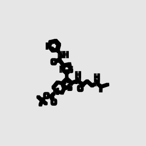 CC(C)NCCC(=O)Nc1sc2c(c1-c1nc(C(=O)Nc3cccnc3)cs1)CCN(C(=O)OC(C)(C)C)C2